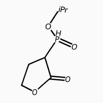 CC(C)O[PH](=O)C1CCOC1=O